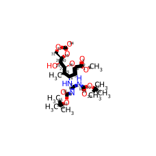 COC(=O)C1=C[C@H](N/C(=N\C(=O)OC(C)(C)C)NC(=O)OC(C)(C)C)[C@@H](C)[C@H]([C@H](O)[C@H]2COC(=O)O2)O1